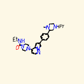 CCNC(=O)N1CCN(c2ccnn3cc(-c4ccc(C5CN(C(C)C)CCN5C)cc4)cc23)CC1